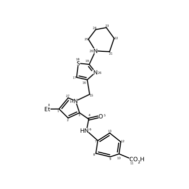 CCc1cc(C(=O)Nc2ccc(C(=O)O)cc2)n(Cc2csc(N3CCCCC3)n2)c1